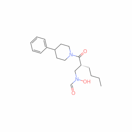 CCCC[C@H](CN(O)C=O)C(=O)N1CCC(c2ccccc2)CC1